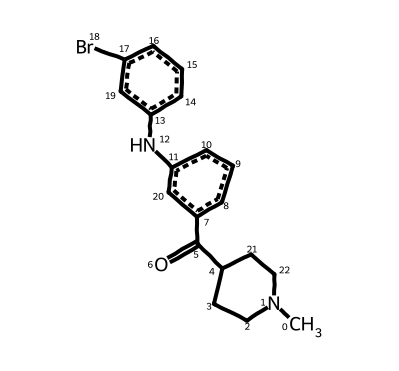 CN1CCC(C(=O)c2cccc(Nc3cccc(Br)c3)c2)CC1